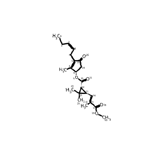 CC/C=C\CC1=C(C)[C@@H](OC(=O)[C@@H]2[C@@H](/C=C(\C)C(=O)OC)C2(C)C)CC1=O